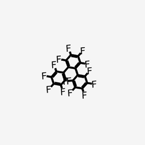 Fc1c(F)c(F)c(-c2c(F)c(F)c(F)c(F)c2-c2c(F)c(F)c(F)c(F)c2F)c(F)c1F